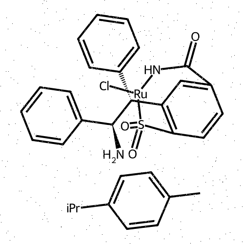 Cc1ccc(C(C)C)cc1.N[C@@H](c1ccccc1)[C@H](c1ccccc1)c1cc2ccc1[S](=O)(=O)[Ru]([Cl])[NH]C2=O